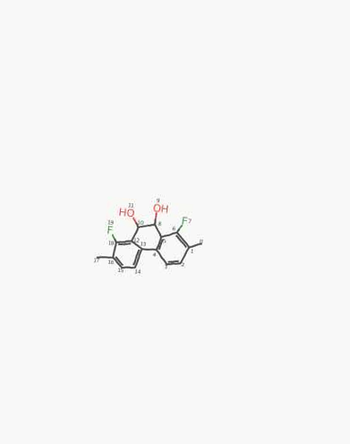 Cc1ccc2c(c1F)C(O)C(O)c1c-2ccc(C)c1F